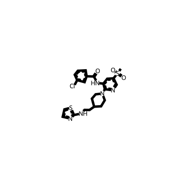 CS(=O)(=O)c1cnc(N2CCC(CCNc3nccs3)CC2)c(NC(=O)c2cccc(Cl)c2)c1